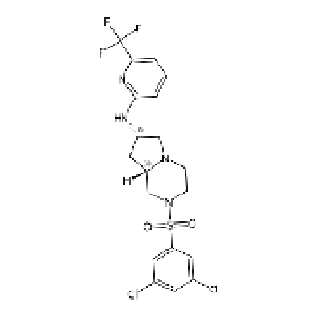 O=S(=O)(c1cc(Cl)cc(Cl)c1)N1CCN2C[C@@H](Nc3cccc(C(F)(F)F)n3)C[C@H]2C1